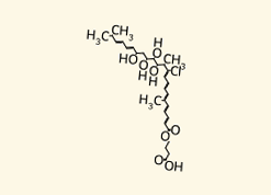 CC(/C=C/C=C/C(=O)OCCCC(=O)O)=C\C=C\C=C(/Cl)C(C)C(O)C(O)C(O)CC(O)/C=C/C=C/C(C)C